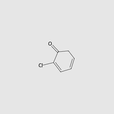 O=C1CC=CC=C1Cl